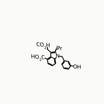 CC(C)c1c(CC(=O)O)c2c(C(=O)O)cccc2n1Cc1cccc(O)c1